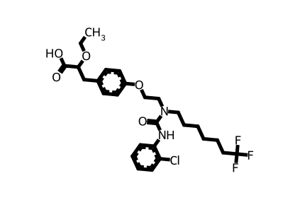 CCOC(Cc1ccc(OCCN(CCCCCCC(F)(F)F)C(=O)Nc2ccccc2Cl)cc1)C(=O)O